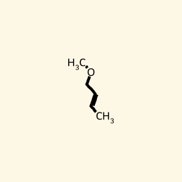 CC=CCOC